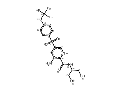 Nc1cc(S(=O)(=O)c2ccc(OC(F)(F)F)cc2)cnc1C(=O)NC(CO)CO